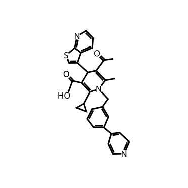 CC(=O)C1=C(C)N(Cc2cccc(-c3ccncc3)c2)C(C2CC2)=C(C(=O)O)C1c1csc2ncccc12